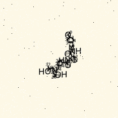 COc1ccc(C=NNC(=O)c2cscc2NC(=O)c2cccc(CN(CC(C)O)CC(C)O)c2)cc1